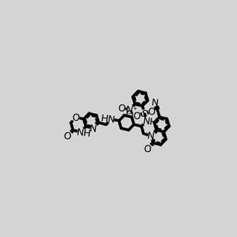 N#Cc1ccc2ccc(=O)n(CC(NS(=O)(=O)c3ccccc3[N+](=O)[O-])C3CCC(NCc4ccc5c(n4)NC(=O)CO5)CC3)c2c1